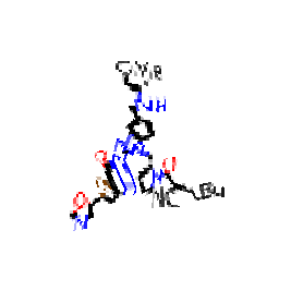 COC[C@H](C)NCc1ccc2c(c1)nc(NC(=O)c1ccc(-c3cnco3)s1)n2C[C@H]1CCCN1C(=O)/C(C#N)=C/C(C)(C)C